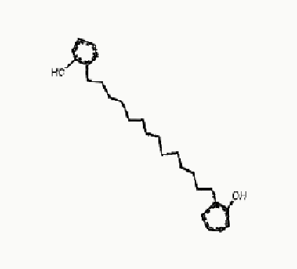 Oc1ccccc1CCCCCCCCCCCCCCc1ccccc1O